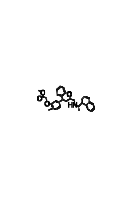 COC(=O)COc1cc(C2CC(CN[C@H](C)c3cccc4ccccc34)Oc3ccccc32)ccc1C